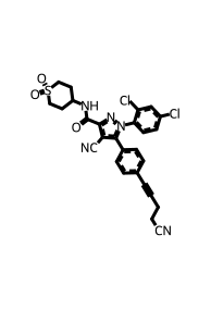 N#CCCC#Cc1ccc(-c2c(C#N)c(C(=O)NC3CCS(=O)(=O)CC3)nn2-c2ccc(Cl)cc2Cl)cc1